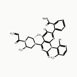 C=CC(=O)N1C[C@H](C)N(c2nc(=O)n(-c3c(C)ccnc3C(C)C)c3nc(-c4ccccc4C(=O)NC)c(Cl)cc23)C[C@H]1C